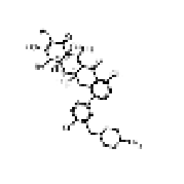 CCc1ccc(-c2ccc(O)c3c2C[C@]2(C)C[C@]4(C)C(C(C)C)C(O)=C(C(C)=O)C(=O)[C@]4(O)C(O)=C2C3=O)cc1CC1CCC(C)CC1